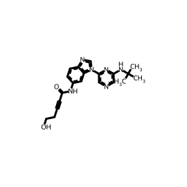 CC(C)(C)Nc1cncc(-n2cnc3ccc(NC(=O)C#CCCO)cc32)n1